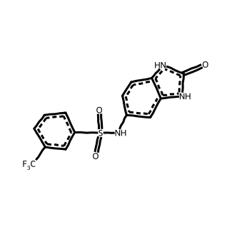 O=c1[nH]c2ccc(NS(=O)(=O)c3cccc(C(F)(F)F)c3)cc2[nH]1